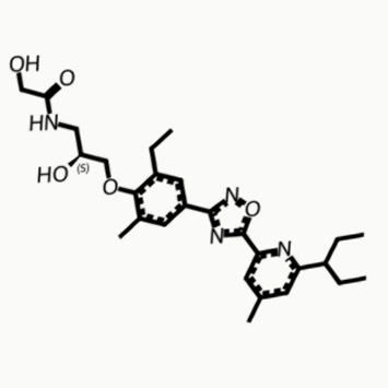 CCc1cc(-c2noc(-c3cc(C)cc(C(CC)CC)n3)n2)cc(C)c1OC[C@@H](O)CNC(=O)CO